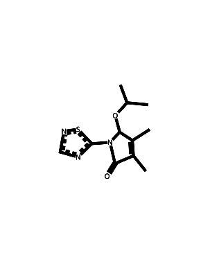 CC1=C(C)C(OC(C)C)N(c2ncns2)C1=O